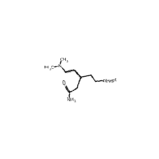 CCCCCCCCCC(CCN(C)C)CC(N)=O